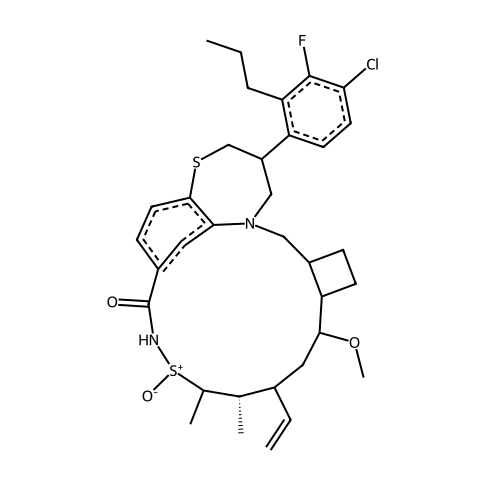 C=CC1CC(OC)C2CCC2CN2CC(c3ccc(Cl)c(F)c3CCC)CSc3ccc(cc32)C(=O)N[S+]([O-])C(C)[C@H]1C